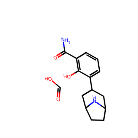 NC(=O)c1cccc(C2CC3CCC(C2)N3)c1O.O=CO